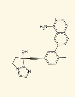 Cc1ccc(C#C[C@]2(O)CCn3ccnc32)cc1-c1ccc2ccnc(N)c2c1